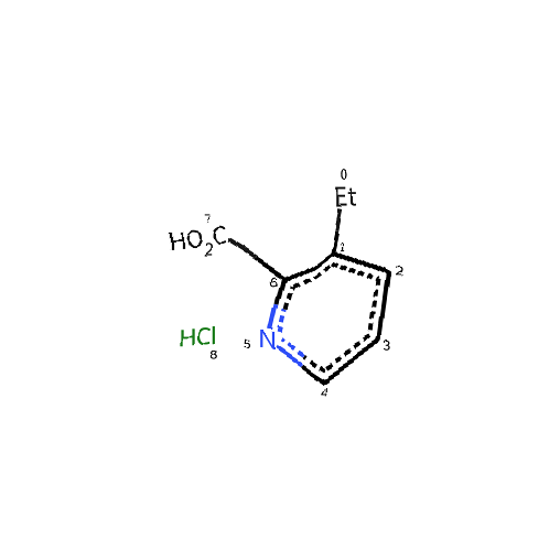 CCc1cccnc1C(=O)O.Cl